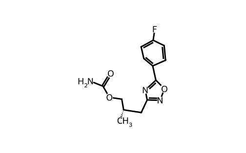 C[C@H](COC(N)=O)Cc1noc(-c2ccc(F)cc2)n1